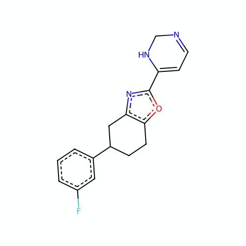 Fc1cccc(C2CCc3oc(C4=CC=NCN4)nc3C2)c1